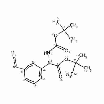 CC(C)(C)OC(=O)NN(C(=O)OC(C)(C)C)c1cccc(C=O)c1